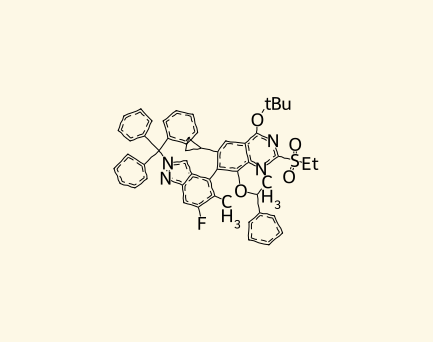 CCS(=O)(=O)c1nc(OC(C)(C)C)c2cc(C3CC3)c(-c3c(C)c(F)cc4nn(C(c5ccccc5)(c5ccccc5)c5ccccc5)cc34)c(OC(C)c3ccccc3)c2n1